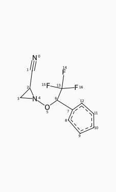 N#CC1CN1OC(c1ccccc1)C(F)(F)F